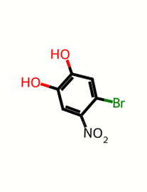 O=[N+]([O-])c1cc(O)c(O)cc1Br